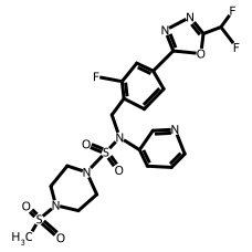 CS(=O)(=O)N1CCN(S(=O)(=O)N(Cc2ccc(-c3nnc(C(F)F)o3)cc2F)c2cccnc2)CC1